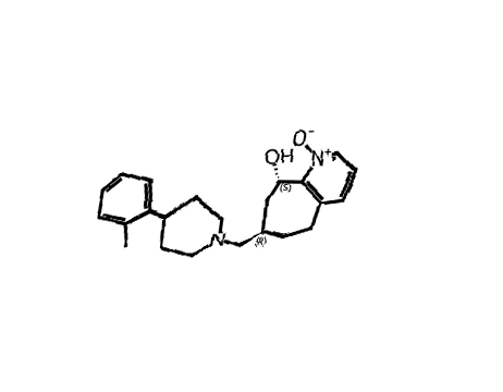 Cc1ccccc1C1CCN(C[C@@H]2CCc3ccc[n+]([O-])c3[C@@H](O)C2)CC1